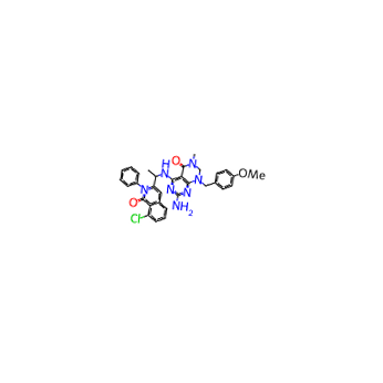 COc1ccc(CN2CN(C)C(=O)c3c(NC(C)c4cc5cccc(Cl)c5c(=O)n4-c4ccccc4)nc(N)nc32)cc1